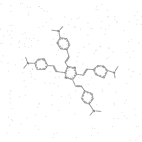 CN(C)c1ccc(/C=C/c2nc(/C=C/c3ccc(N(C)C)cc3)c(/C=C/c3ccc(N(C)C)cc3)nc2/C=C/c2ccc(N(C)C)cc2)cc1